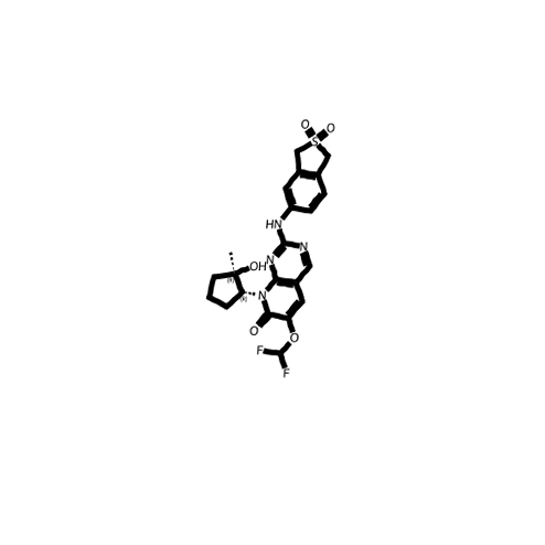 C[C@@]1(O)CCC[C@H]1n1c(=O)c(OC(F)F)cc2cnc(Nc3ccc4c(c3)CS(=O)(=O)C4)nc21